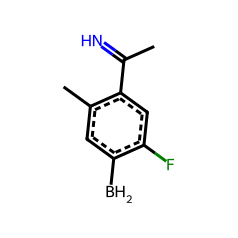 Bc1cc(C)c(C(C)=N)cc1F